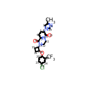 Cc1cn(-c2ccc3n(c2=O)CCN(C2CCC2Oc2ccc(Cl)cc2C(F)(F)F)C3=O)cn1